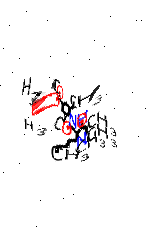 CCCCc1c(C(=O)Nc2c(CC)cc(C(=O)OC)cc2CC)c(=O)c(C)c(C)n1C